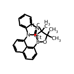 CCc1nc2ccccc2n1-c1cccc2cccc(B3OC(C)(C)C(C)(C)O3)c12